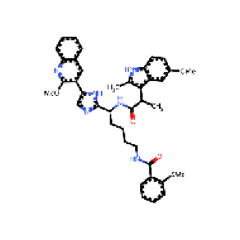 COc1ccc2[nH]c(C)c(C(C)C(=O)N[C@@H](CCCCNC(=O)c3ccccc3SC)c3ncc(-c4cc5ccccc5nc4OC)[nH]3)c2c1